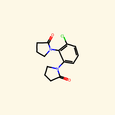 O=C1CCCN1c1cccc(Cl)c1N1CCCC1=O